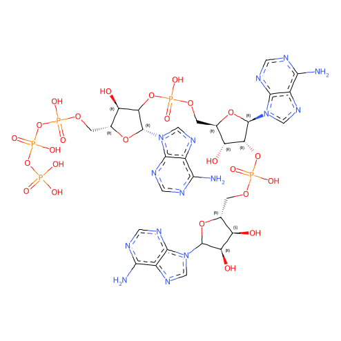 Nc1ncnc2c1ncn2C1O[C@H](COP(=O)(O)O[C@@H]2[C@H](O)[C@@H](COP(=O)(O)OC3[C@H](n4cnc5c(N)ncnc54)O[C@H](COP(=O)(O)OP(=O)(O)OP(=O)(O)O)[C@H]3O)O[C@H]2n2cnc3c(N)ncnc32)[C@@H](O)[C@H]1O